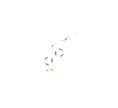 CCc1nc2c(-c3cccc(S(=O)(=O)NC)c3)cccc2n1C/C(F)=C/CN.Cl